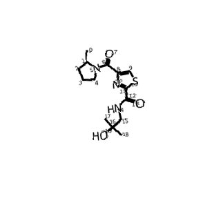 C[C@@H]1CCCN1C(=O)c1csc(C(=O)NCC(C)(C)O)n1